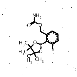 CC1(C)OB(c2c(F)cccc2COC(N)=O)OC1(C)C